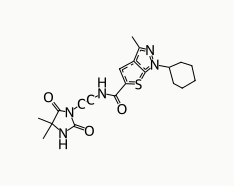 Cc1nn(C2CCCCC2)c2sc(C(=O)NCCN3C(=O)NC(C)(C)C3=O)cc12